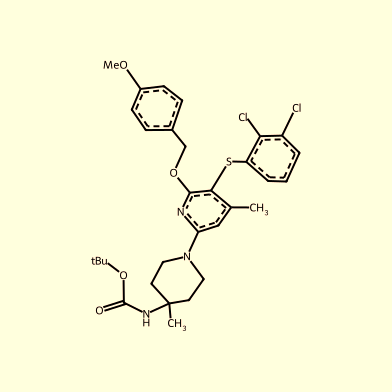 COc1ccc(COc2nc(N3CCC(C)(NC(=O)OC(C)(C)C)CC3)cc(C)c2Sc2cccc(Cl)c2Cl)cc1